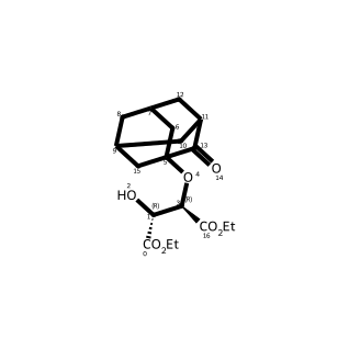 CCOC(=O)[C@H](O)[C@@H](OC12CC3CC(CC(C3)C1=O)C2)C(=O)OCC